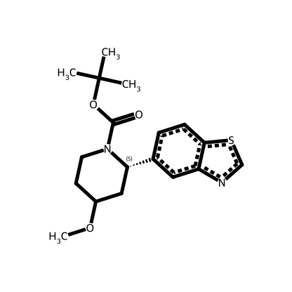 COC1CCN(C(=O)OC(C)(C)C)[C@H](c2ccc3scnc3c2)C1